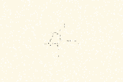 Cc1c(Cl)n[nH]c1Cl